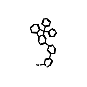 N#Cc1cc(-c2cccc(-c3ccc4c(c3)C(c3ccccc3)(c3ccccc3)c3ccccc3-4)c2)ccn1